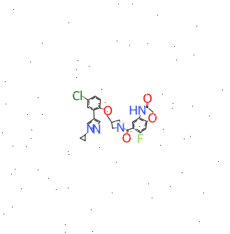 O=C1COc2cc(F)c(C(=O)N3CC(COc4ccc(Cl)cc4-c4cnn(C5CC5)c4)C3)cc2N1